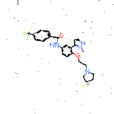 Cn1nccc1-c1cc(NC(=O)c2ccc(C(F)(F)F)cc2)ccc1OCCN1CC[C@H](F)C1